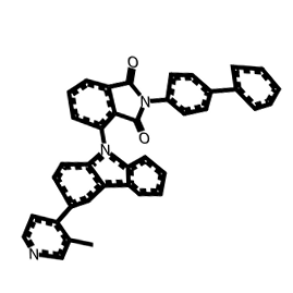 Cc1cnccc1-c1ccc2c(c1)c1ccccc1n2-c1cccc2c1C(=O)N(c1ccc(-c3ccccc3)cc1)C2=O